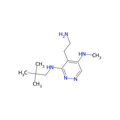 CNc1cnnc(NCC(C)(C)C)c1CCN